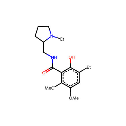 CCc1cc(OC)c(OC)c(C(=O)NCC2CCCN2CC)c1O